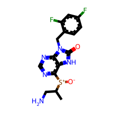 CC(CN)[S+]([O-])c1ncnc2c1[nH]c(=O)n2Cc1ccc(F)cc1F